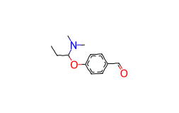 CCC(Oc1ccc(C=O)cc1)N(C)C